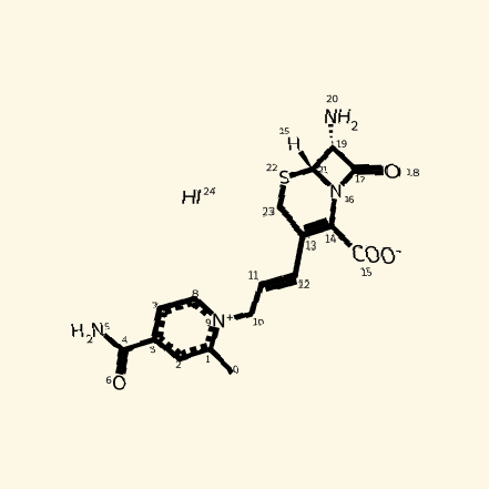 Cc1cc(C(N)=O)cc[n+]1C/C=C/C1=C(C(=O)[O-])N2C(=O)[C@@H](N)[C@H]2SC1.I